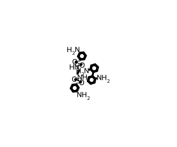 Nc1cccc(S(=O)(=O)NCCNS(=O)(=O)c2cccc(N)c2)c1.Nc1ccccc1-c1ccccc1N